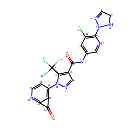 O=C(Nc1cnc(N2N=CCN2)c(Cl)c1)c1cnn(-c2ccnc3c(=O)c23)c1C(F)(F)F